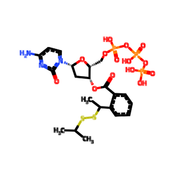 CC(C)SSC(C)c1ccccc1C(=O)O[C@@H]1C[C@H](n2ccc(N)nc2=O)O[C@@H]1COP(=O)(O)OP(=O)(O)OP(=O)(O)O